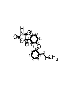 CCCc1ccccc1Oc1cccc([C@@]2(C)OC(=O)NC2=O)c1